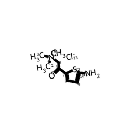 C[N+](C)(C)CC(=O)c1ccc(N)s1.[Cl-]